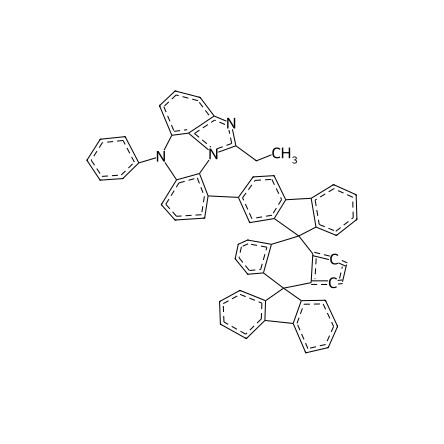 CCc1nc2cccc3c2n1-c1c(-c2ccc4c(c2)C2(c5ccccc5-4)c4ccccc4C4(c5ccccc5-c5ccccc54)c4ccccc42)cccc1N3c1ccccc1